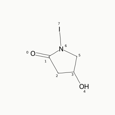 O=C1CC(O)CN1I